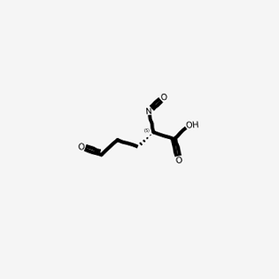 O=CCC[C@H](N=O)C(=O)O